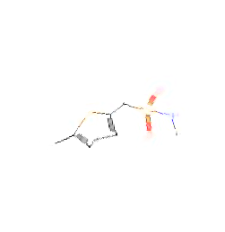 Cc1ccc(CS(=O)(=O)NC(C)C)s1